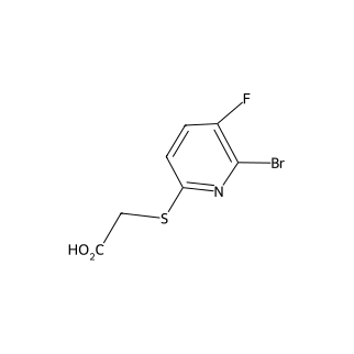 O=C(O)CSc1ccc(F)c(Br)n1